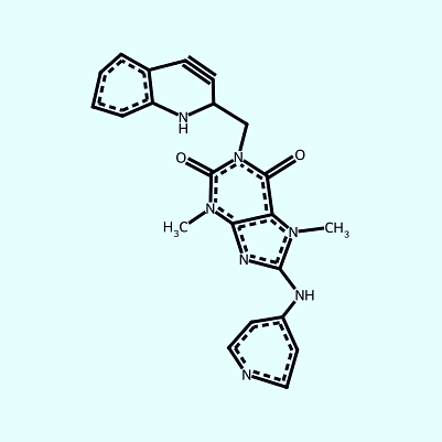 Cn1c(Nc2ccncc2)nc2c1c(=O)n(CC1C#Cc3ccccc3N1)c(=O)n2C